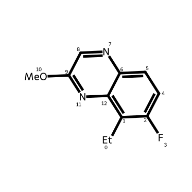 CCc1c(F)ccc2ncc(OC)nc12